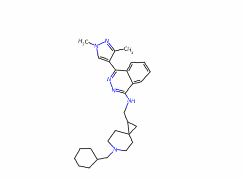 Cc1nn(C)cc1-c1nnc(NCC2CC23CCN(CC2CCCCC2)CC3)c2ccccc12